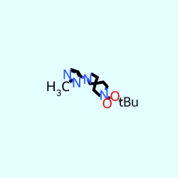 Cc1nccc(N2CCC3(CCN(C(=O)OC(C)(C)C)CC3)C2)n1